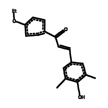 CCOc1ccc(C(=O)/C=C/c2cc(C)c(O)c(C)c2)cc1